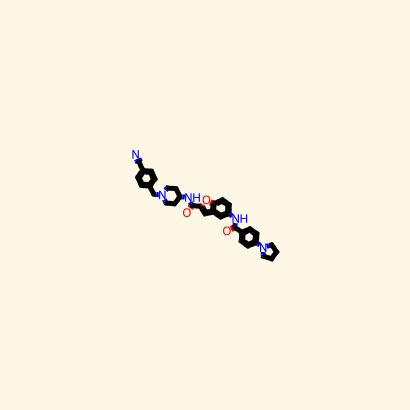 N#Cc1ccc(CN2CCC(NC(=O)c3cc4cc(NC(=O)c5ccc(N6CCCC6)cc5)ccc4o3)CC2)cc1